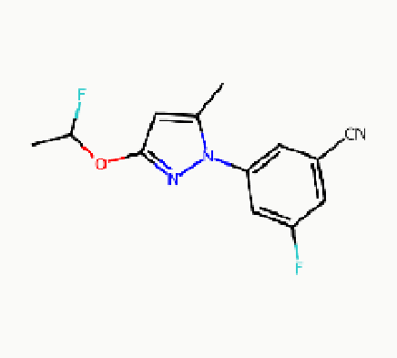 Cc1cc(OC(C)F)nn1-c1cc(F)cc(C#N)c1